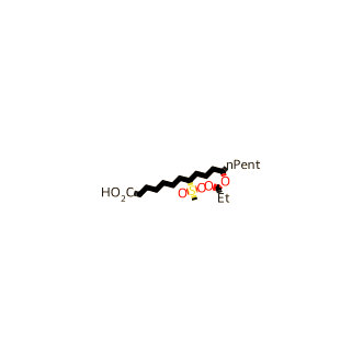 CCCCCC(CCCC(CCCCCCC(=O)O)S(C)(=O)=O)OC(=O)CC